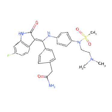 CN(C)CCN(c1ccc(N/C(=C2\C(=O)Nc3cc(F)ccc32)c2ccc(CC(N)=O)cc2)cc1)S(C)(=O)=O